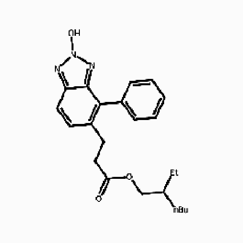 CCCCC(CC)COC(=O)CCc1ccc2nn(O)nc2c1-c1ccccc1